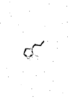 CCCN1CCO[P@@]1C